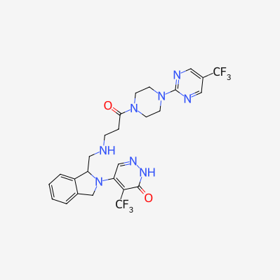 O=C(CCNCC1c2ccccc2CN1c1cn[nH]c(=O)c1C(F)(F)F)N1CCN(c2ncc(C(F)(F)F)cn2)CC1